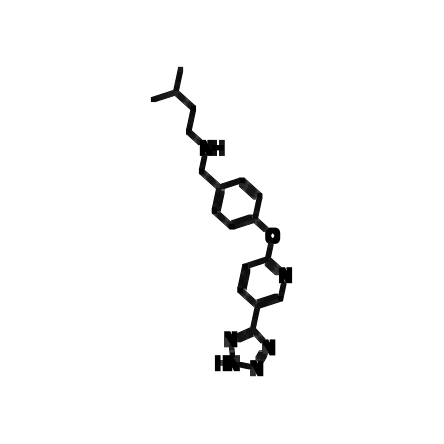 CC(C)CCNCc1ccc(Oc2ccc(-c3nn[nH]n3)cn2)cc1